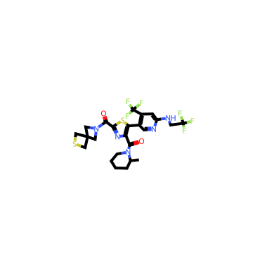 CC1CCCCN1C(=O)c1nc(C(=O)N2CC3(CSC3)C2)sc1-c1cnc(NCC(F)(F)F)cc1C(F)(F)F